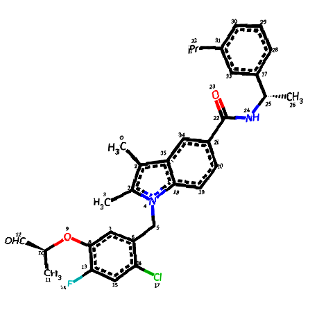 Cc1c(C)n(Cc2cc(O[C@@H](C)C=O)c(F)cc2Cl)c2ccc(C(=O)N[C@@H](C)c3cccc(C(C)C)c3)cc12